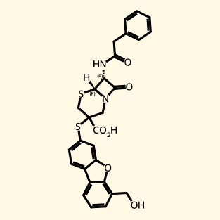 O=C(Cc1ccccc1)N[C@@H]1C(=O)N2CC(Sc3ccc4c(c3)oc3c(CO)cccc34)(C(=O)O)CS[C@H]12